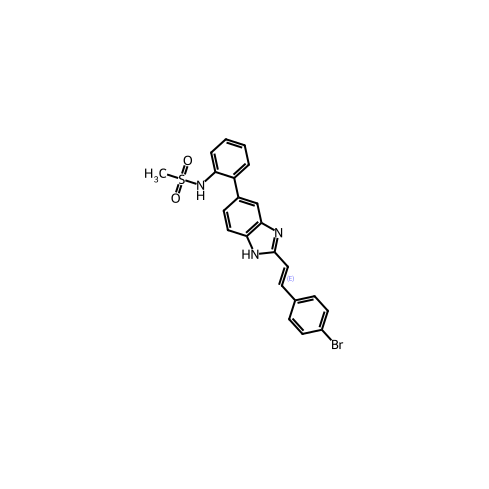 CS(=O)(=O)Nc1ccccc1-c1ccc2[nH]c(/C=C/c3ccc(Br)cc3)nc2c1